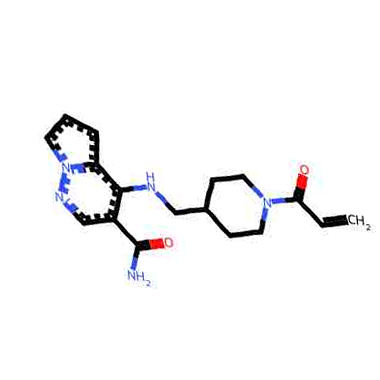 C=CC(=O)N1CCC(CNc2c(C(N)=O)cnn3cccc23)CC1